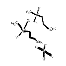 CCCCCCCCCCCC[N+](C)(C)CC.CCCCCCCCCCCC[N+](C)(C)CC.O=S(=O)([O-])[O-]